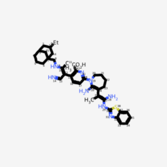 CCC1CC2CCCC(CN/C(C)=C(\C=N)c3ccc(N4CCCCC(/C(C)=C(\N)Nc5nc6ccccc6s5)=C4N)nc3C(=O)O)(C1)C2